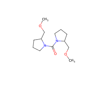 COCC1CCCN1C(=O)N1CCCC1COC